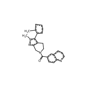 Cc1ccccc1-c1c2c(nn1C)CN(C(=O)c1ccc3ncccc3c1)CC2